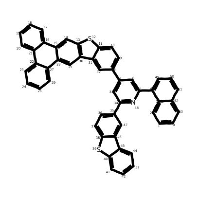 c1ccc2c(-c3cc(-c4ccc5sc6cc7c8ccccc8c8ccccc8c7cc6c5c4)cc(-c4ccc5sc6ccccc6c5c4)n3)cccc2c1